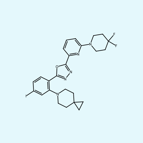 FC1(F)CCN(c2cccc(-c3nnc(-c4ccc(I)cc4N4CCC5(CC4)CC5)o3)n2)CC1